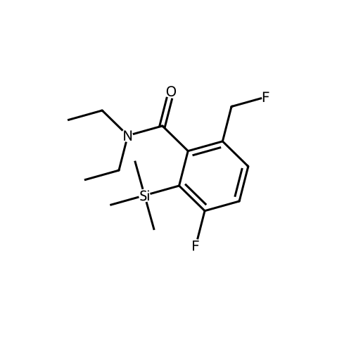 CCN(CC)C(=O)c1c(CF)ccc(F)c1[Si](C)(C)C